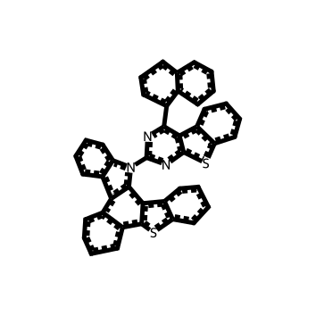 c1ccc2c(-c3nc(-n4c5ccccc5c5c6ccccc6c6sc7ccccc7c6c54)nc4sc5ccccc5c34)cccc2c1